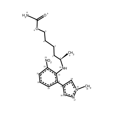 C[C@H](CCCCOC(N)=O)Nc1c(-c2cn(C)nn2)cccc1[N+](=O)[O-]